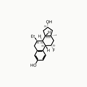 CC[C@@H]1Cc2cc(O)ccc2[C@@H]2[C@@H]1[C@@H]1C[C@H](O)C[C@@]1(C)C[C@@H]2F